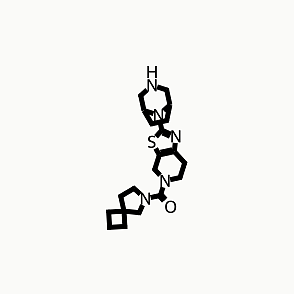 O=C(N1CCc2nc(N3C4CCC3CNC4)sc2C1)N1CCC2(CCC2)C1